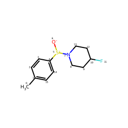 Cc1ccc([S+]([O-])N2CCC(F)CC2)cc1